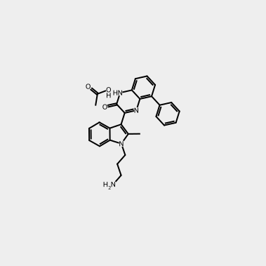 CC(=O)O.Cc1c(-c2nc3c(-c4ccccc4)cccc3[nH]c2=O)c2ccccc2n1CCCN